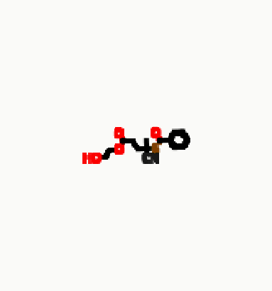 CC(C#N)(CCC(=O)OCCO)SC(=O)c1ccccc1